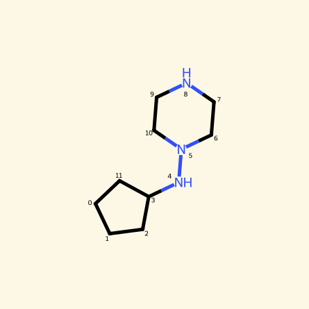 C1CCC(NN2CCNCC2)C1